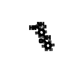 N=C(N)c1ccc(NC(=O)c2ccccc2)cc1